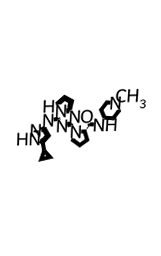 CN1CCC(NC(=O)[C@@H]2CCCN2c2nc(Nc3cc(C4CC4)[nH]n3)n3cccc3n2)CC1